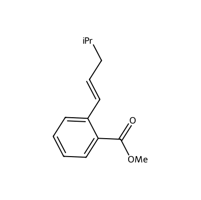 COC(=O)c1ccccc1C=CCC(C)C